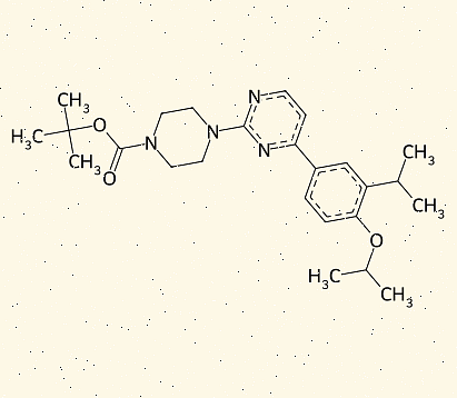 CC(C)Oc1ccc(-c2ccnc(N3CCN(C(=O)OC(C)(C)C)CC3)n2)cc1C(C)C